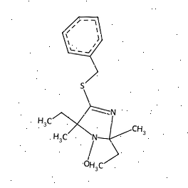 CCC1(C)N=C(SCc2ccccc2)C(C)(CC)N1[O]